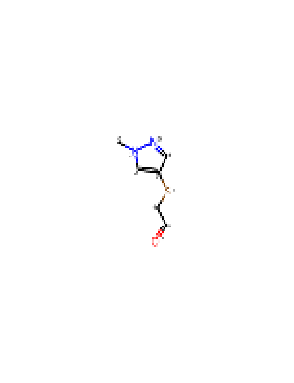 Cn1cc(SCC=O)cn1